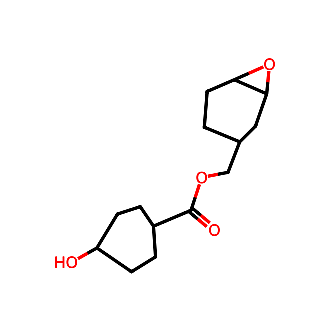 O=C(OCC1CCC2OC2C1)C1CCC(O)CC1